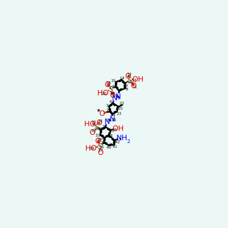 COc1cc(N=Nc2cc(S(=O)(=O)O)ccc2S(=O)(=O)O)c(C)cc1N=Nc1c(S(=O)(=O)O)cc2c(S(=O)(=O)O)ccc(N)c2c1O